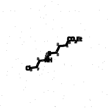 CCOC(=O)CCCSNCCCl